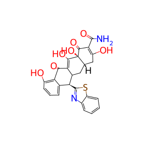 NC(=O)C1=C(O)C[C@@H]2CC3C(=C(O)[C@]2(O)C1=O)C(=O)c1c(O)cccc1[C@@H]3c1nc2ccccc2s1